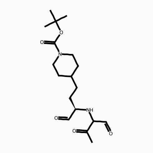 CC(=O)C(C=O)N[C@@H](C=O)CCC1CCN(C(=O)OC(C)(C)C)CC1